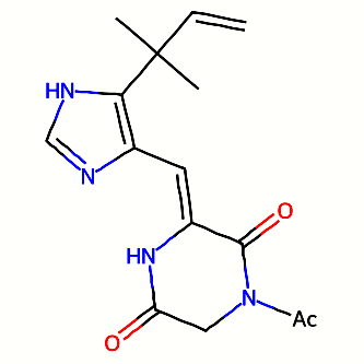 C=CC(C)(C)c1[nH]cnc1/C=C1\NC(=O)CN(C(C)=O)C1=O